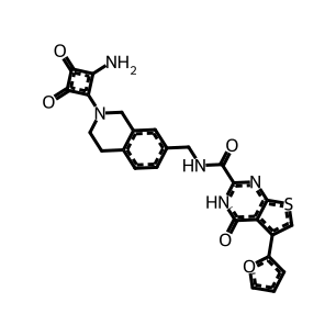 Nc1c(N2CCc3ccc(CNC(=O)c4nc5scc(-c6ccco6)c5c(=O)[nH]4)cc3C2)c(=O)c1=O